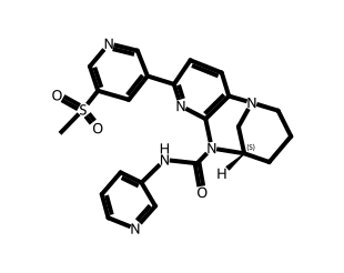 CS(=O)(=O)c1cncc(-c2ccc3c(n2)N(C(=O)Nc2cccnc2)[C@H]2CCCN3C2)c1